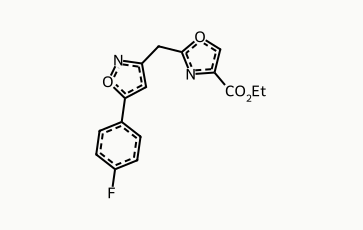 CCOC(=O)c1coc(Cc2cc(-c3ccc(F)cc3)on2)n1